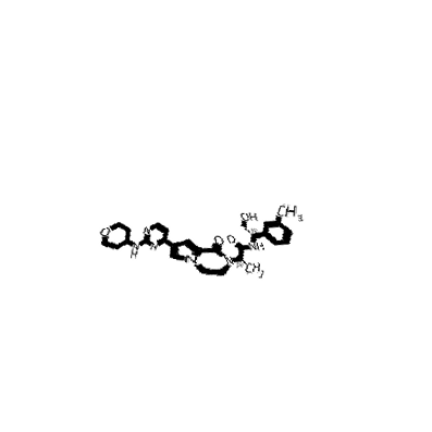 Cc1cccc([C@@H](CO)NC(=O)[C@H](C)N2CCn3cc(-c4ccnc(NC5CCOCC5)n4)cc3C2=O)c1